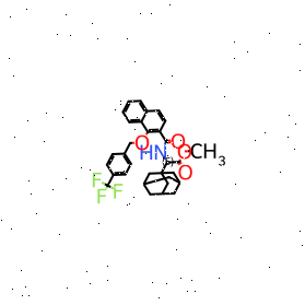 COC(=O)[C@@H](NC(=O)c1ccc2ccccc2c1OCc1ccc(C(F)(F)F)cc1)C12CC3CC(CC(C3)C1)C2